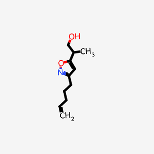 C=CCCCc1cc(C(C)CO)on1